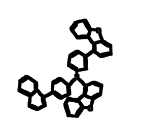 c1cc(-c2cccc3oc4ccccc4c23)cc(N(c2ccc(-c3cccc4ccccc34)cc2)c2cccc3oc4ccccc4c23)c1